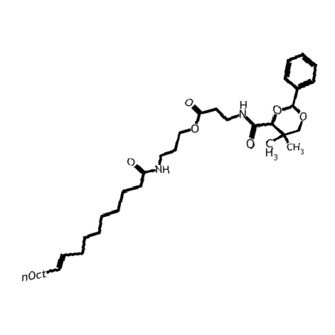 CCCCCCCCC=CCCCCCCCC(=O)NCCCOC(=O)CCNC(=O)C1OC(c2ccccc2)OCC1(C)C